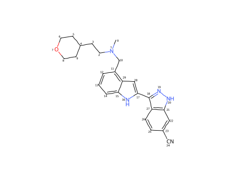 CN(CCC1CCOCC1)Cc1cccc2[nH]c(-c3n[nH]c4cc(C#N)ccc34)cc12